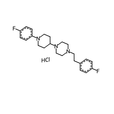 Cl.Fc1ccc(CCN2CCN(C3CCN(c4ccc(F)cc4)CC3)CC2)cc1